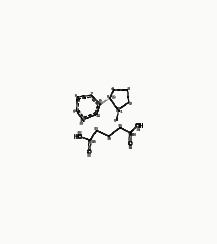 CN1CCC[C@H]1c1cccnc1.O=C(O)CCCC(=O)O